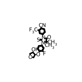 CC1(C)C(=O)N(c2ccc(C#N)c(C(F)(F)F)c2)C(=S)N1c1ccc(O[C@H]2COC[C@@H]2O)c(F)c1